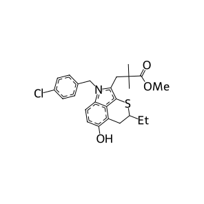 CCC1Cc2c(O)ccc3c2c(c(CC(C)(C)C(=O)OC)n3Cc2ccc(Cl)cc2)S1